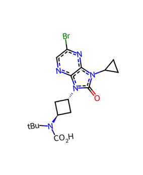 CC(C)(C)N(C(=O)O)[C@H]1C[C@H](n2c(=O)n(C3CC3)c3nc(Br)cnc32)C1